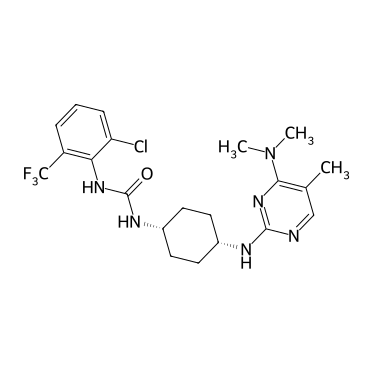 Cc1cnc(N[C@H]2CC[C@@H](NC(=O)Nc3c(Cl)cccc3C(F)(F)F)CC2)nc1N(C)C